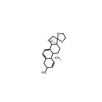 C[C@]12C=CC(O)CC1=CC=C1C2CC[C@@]2(C)C1CCC21OCCO1